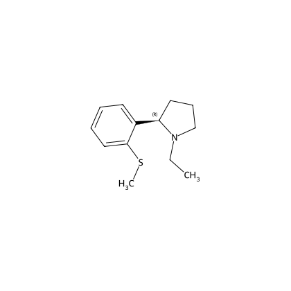 CCN1CCC[C@@H]1c1ccccc1SC